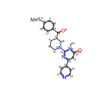 CSc1ccc(C(=O)C2CCCN(c3nc(-c4ccncc4)cc(=O)n3C)C2)cc1